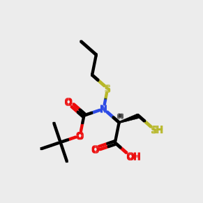 CCCSN(C(=O)OC(C)(C)C)[C@@H](CS)C(=O)O